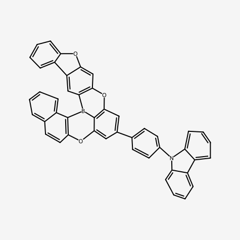 c1ccc2c3c(ccc2c1)Oc1cc(-c2ccc(-n4c5ccccc5c5ccccc54)cc2)cc2c1B3c1cc3c(cc1O2)oc1ccccc13